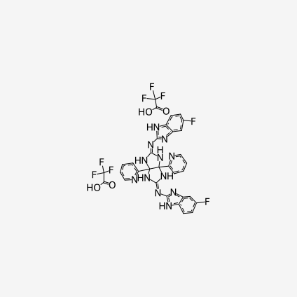 Fc1ccc2[nH]c(N=C3NC4(c5ccccn5)NC(=Nc5nc6cc(F)ccc6[nH]5)NC4(c4ccccn4)N3)nc2c1.O=C(O)C(F)(F)F.O=C(O)C(F)(F)F